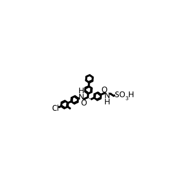 Cc1cc(Cl)ccc1-c1ccc(NC(=O)[C@@H](Cc2ccc(C(=O)NCCS(=O)(=O)O)cc2)c2ccc(C3=CCCCC3)cc2)cc1